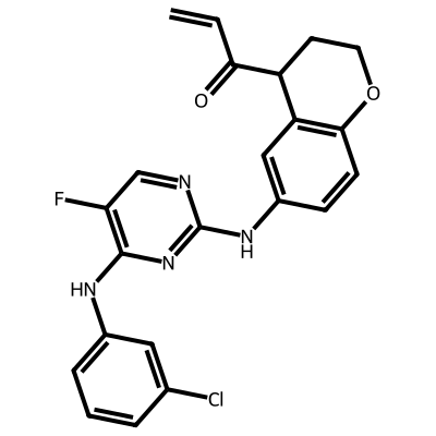 C=CC(=O)C1CCOc2ccc(Nc3ncc(F)c(Nc4cccc(Cl)c4)n3)cc21